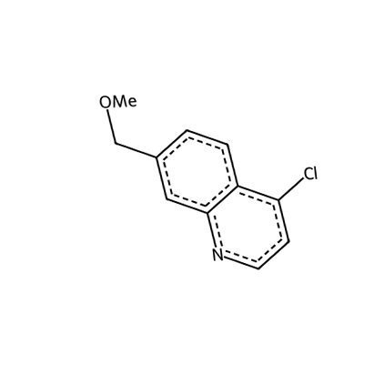 COCc1ccc2c(Cl)ccnc2c1